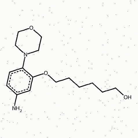 Nc1ccc(N2CCOCC2)c(OCCCCCCO)c1